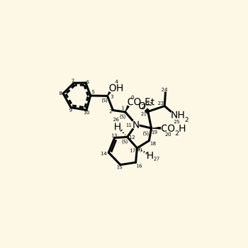 CCOC(=O)[C@H](C[C@H](O)c1ccccc1)N1[C@@H]2C=CCC[C@@H]2C[C@@]1(C(=O)O)C(=O)C(C)N